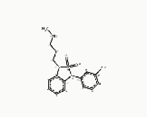 CNCCCN1c2ccccc2N(c2cccc(F)c2)S1(=O)=O